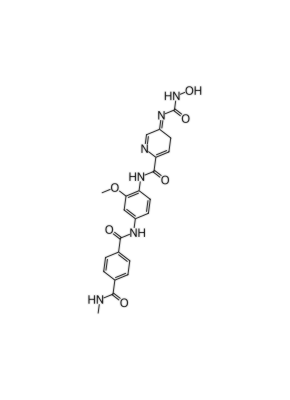 CNC(=O)c1ccc(C(=O)Nc2ccc(NC(=O)C3=CCC(=NC(=O)NO)C=N3)c(OC)c2)cc1